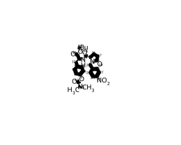 CN(C)C(=O)Oc1ccc(C[C@H](NC(=O)[C@@H]2CCC(=O)N2Cc2ccc([N+](=O)[O-])cc2)C(=O)OC(C)(C)C)cc1